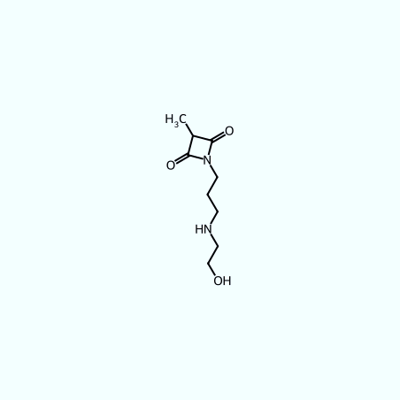 CC1C(=O)N(CCCNCCO)C1=O